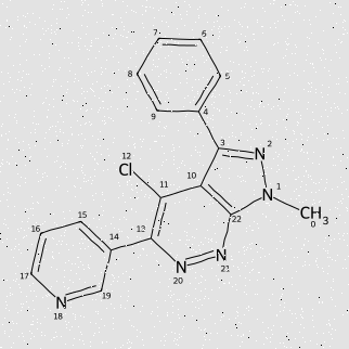 Cn1nc(-c2ccccc2)c2c(Cl)c(-c3cccnc3)nnc21